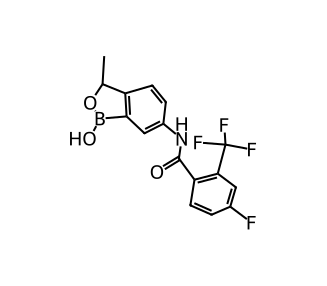 CC1OB(O)c2cc(NC(=O)c3ccc(F)cc3C(F)(F)F)ccc21